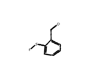 [O]Cc1ccccc1SF